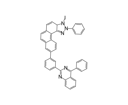 IN1C2C=Cc3ccc4cc(-c5cccc(-c6nc(-c7ccccc7)c7ccccc7n6)c5)ccc4c3C2=NN1c1ccccc1